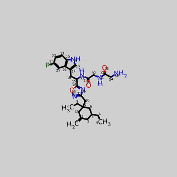 C=C1CC(CC)CC(CC)(Cc2noc(C(Cc3c[nH]c4ccc(F)cc34)NC(=O)CNC(=O)CN)n2)C1